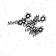 CCCC(NC(=O)C1CC(Oc2cc(-c3ccccc3)nc3cc(OC)ccc23)CN1C(=O)NC(C(=O)NCC1CCCCC1)C(C)C)C(=O)NS(=O)(=O)c1ccccc1